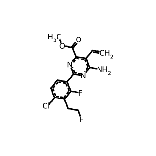 C=Cc1c(N)nc(-c2ccc(Cl)c(CCF)c2F)nc1C(=O)OC